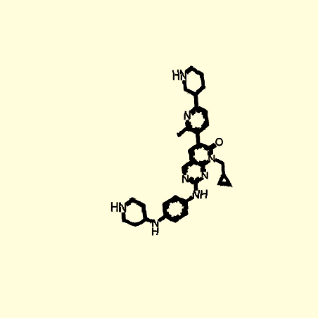 Cc1nc(C2CCCNC2)ccc1-c1cc2cnc(Nc3ccc(NC4CCNCC4)cc3)nc2n(CC2CC2)c1=O